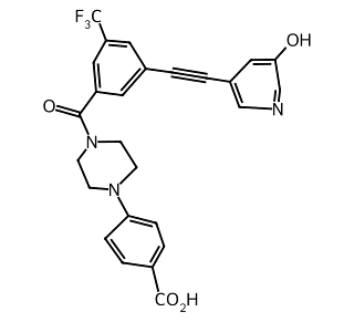 O=C(O)c1ccc(N2CCN(C(=O)c3cc(C#Cc4cncc(O)c4)cc(C(F)(F)F)c3)CC2)cc1